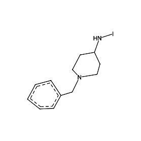 INC1CCN(Cc2ccccc2)CC1